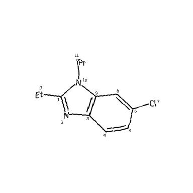 CCc1nc2ccc(Cl)cc2n1C(C)C